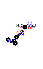 CCC(CC)NC(=O)Nc1ccc(Oc2cnc(NC(=O)c3ccc(-n4cc(CN5CCCCC5)c5ccccc54)cc3)s2)c(C)c1